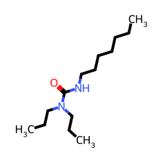 CCCCCCCNC(=O)N(CCC)CCC